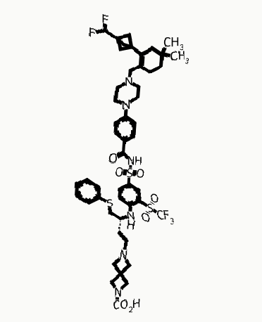 CC1(C)CCC(CN2CCN(c3ccc(C(=O)NS(=O)(=O)c4ccc(N[C@H](CCN5CC6(C5)CN(C(=O)O)C6)CSc5ccccc5)c(S(=O)(=O)C(F)(F)F)c4)cc3)CC2)=C(C23CC(C(F)F)(C2)C3)C1